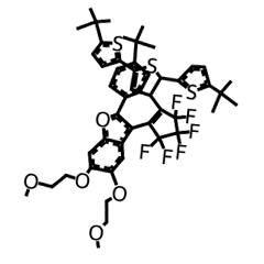 COCCOc1cc2oc(-c3ccc(C(C)(C)C)cc3)c(C3=C(C4C=C(c5ccc(C(C)(C)C)s5)SC4c4ccc(C(C)(C)C)s4)C(F)(F)C(F)(F)C3(F)F)c2cc1OCCOC